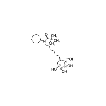 CC(C)(C)C(=O)N(CCCCCCN1C[C@H](O)[C@@H](O)[C@H](O)[C@H]1CO)C1CCCCCC1